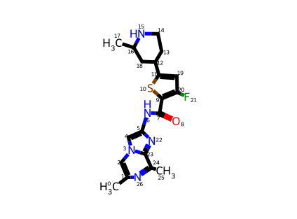 Cc1cn2cc(NC(=O)c3sc(C4CCNC(C)C4)cc3F)nc2c(C)n1